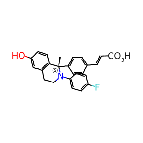 C[C@]1(c2ccc(C=CC(=O)O)cc2)c2ccc(O)cc2CCN1c1ccc(F)cc1